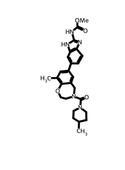 COC(=O)Nc1nc2ccc(-c3cc(C)c4c(c3)CN(C(=O)N3CCC(C)CC3)CCO4)cc2[nH]1